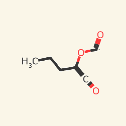 CCCC(=C=O)O[C]=O